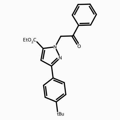 CCOC(=O)c1cc(-c2ccc(C(C)(C)C)cc2)nn1CC(=O)c1ccccc1